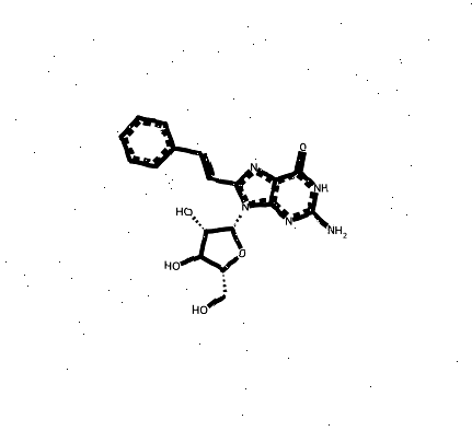 Nc1nc2c(nc(/C=C/c3ccccc3)n2[C@@H]2O[C@H](CO)C(O)[C@@H]2O)c(=O)[nH]1